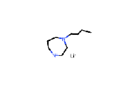 CCCCN1CCC[N-]CC1.[Li+]